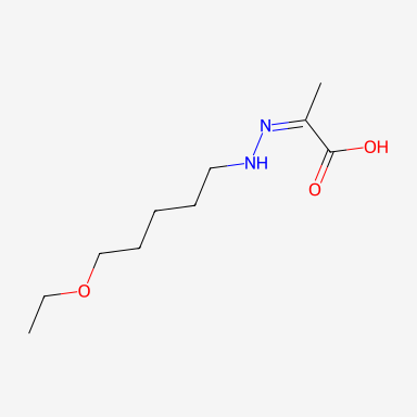 CCOCCCCCNN=C(C)C(=O)O